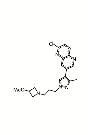 COC1CN(CCCn2cc(-c3cnc4ccc(Cl)nc4c3)c(C)n2)C1